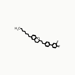 CCCCCCCc1ccc2c(c1)CCC(CCc1ccc(-c3ccc(F)c(F)c3)cc1)O2